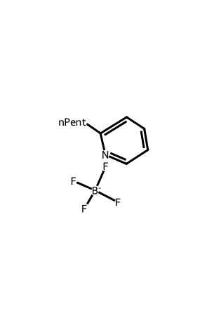 CCCCCc1ccccn1.F[B-](F)(F)F